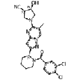 Cc1cn2nc([C@@H]3CCCCN3C(=O)c3ccc(Cl)c(Cl)c3)cc2nc1N1C[C@@H](C#N)[C@@H](O)C1